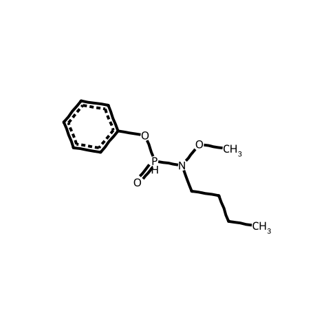 CCCCN(OC)[PH](=O)Oc1ccccc1